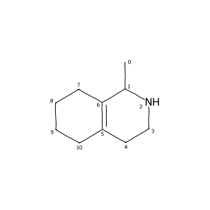 CC1NCCC2=C1CCCC2